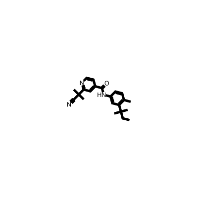 CCC(C)(C)c1cc(NC(=O)c2ccnc(C(C)(C)C#N)c2)ccc1C